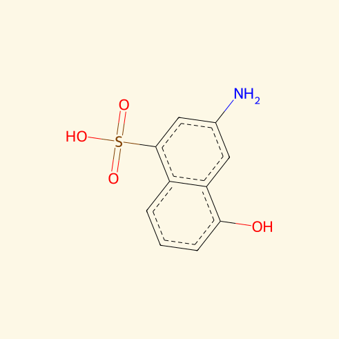 Nc1cc(S(=O)(=O)O)c2cccc(O)c2c1